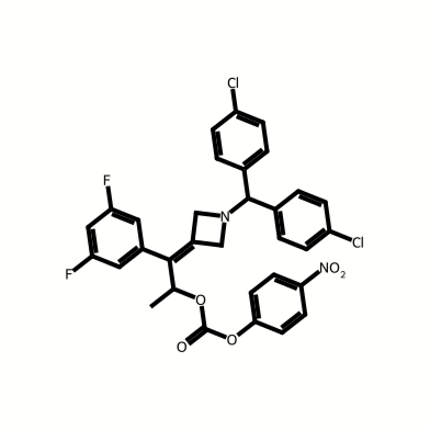 CC(OC(=O)Oc1ccc([N+](=O)[O-])cc1)C(=C1CN(C(c2ccc(Cl)cc2)c2ccc(Cl)cc2)C1)c1cc(F)cc(F)c1